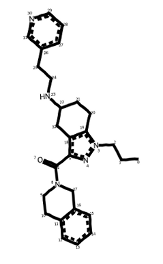 CCCn1nc(C(=O)N2CCc3ccccc3C2)c2c1CCC(NCCc1cccnc1)C2